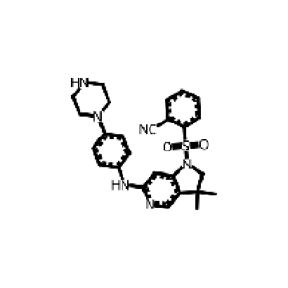 CC1(C)CN(S(=O)(=O)c2ccccc2C#N)c2cc(Nc3ccc(N4CCNCC4)cc3)ncc21